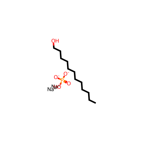 CCCCCCCCCCCCO.O=P([O-])([O-])O.[Na+].[Na+]